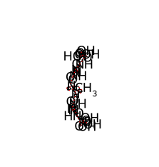 Cc1ccccc1SC(/C=C1\C=CN(CCCOC(=O)NCc2cn(CCC(=O)NCCCCC(C(=O)O)N(CC(=O)O)CC(=O)O)nn2)c2ccccc21)=N/CCCOC(=O)NCc1cn(CCC(=O)NCCCCC(C(=O)O)N(CC(=O)O)CC(=O)O)nn1